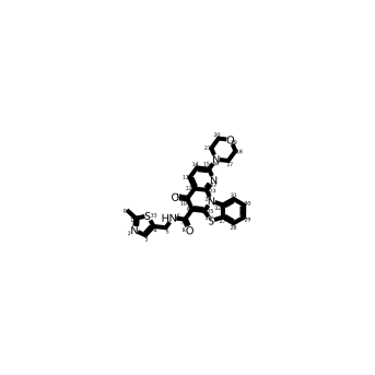 Cc1ncc(CNC(=O)c2c(=O)c3ccc(N4CCOCC4)nc3n3c2sc2ccccc23)s1